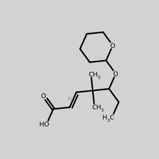 CCC(OC1CCCCO1)C(C)(C)/C=C/C(=O)O